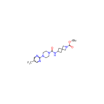 CC(C)(C)OC(=O)N1CC2(CC(NC(=O)N3CCN(c4ncc(C(F)(F)F)cn4)CC3)C2)C1